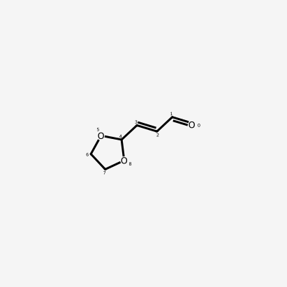 O=C/C=C/C1OCCO1